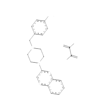 Cc1ccc(CN2CCN(c3cnc4ccccc4n3)CC2)cc1.O=C(O)C(=O)O